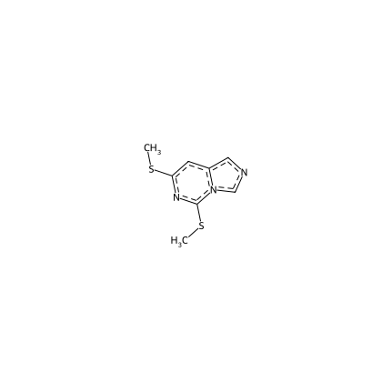 CSc1cc2cncn2c(SC)n1